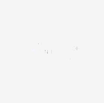 C/C=C/C(=O)NCCCC(=O)O